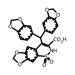 O=C(O)C1=C(C(c2ccc3c(c2)OCO3)c2ccc3c(c2)OCO3)c2cc3c(cc2S(=O)(=O)N1)OCO3